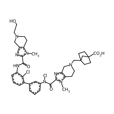 Cn1c(C(=O)Nc2cccc(-c3cccc(N(Cl)C(=O)c4nc5c(n4C)CCN(CC46CCC(C(=O)O)(CC4)C6)C5)c3)c2Cl)nc2c1CCN(CCO)C2